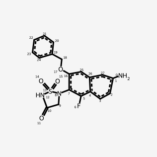 Nc1ccc2c(F)c(N3CC(=O)NS3(=O)=O)c(OCc3ccccc3)cc2c1